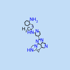 C=C(/C=C\c1ccccc1N)Nc1cc(-c2nc(N3CCNCC3)c3c(C4CC4)cncc3n2)ccn1